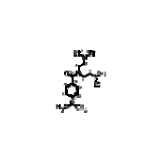 CCN(CC)CCN(CCN(CC)CC)C(=O)c1ccc(N(C)C)cc1